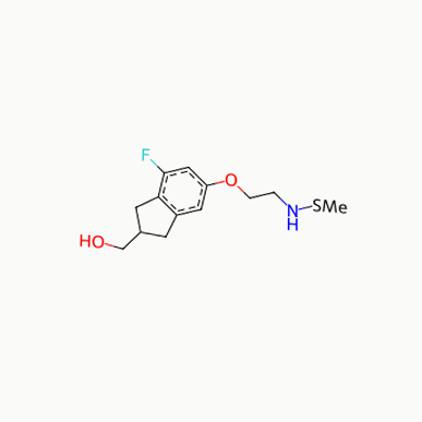 CSNCCOc1cc(F)c2c(c1)CC(CO)C2